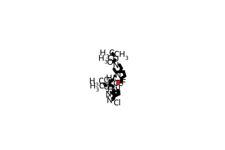 CC(C)(C)OC(=O)N1CCC2(CCC(C(F)(F)F)N2C[C@H]2O[C@@H](n3ccc4c(Cl)ncnc43)[C@@H]3OC(C)(C)O[C@@H]32)CC1